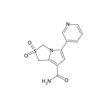 NC(=O)c1cc(-c2cccnc2)n2c1CS(=O)(=O)C2